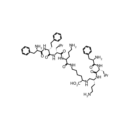 CC(C)C[C@@H](NC(=O)[C@H](N)Cc1ccccc1)C(=O)N[C@H](CCCN)CN[C@H](CCCCNC(=O)C(CCCN)NC(=O)[C@@H](CC(C)C)NC(=O)[C@@H](CCc1ccccc1)NC(=O)[C@H](N)Cc1ccccc1)C(=O)O